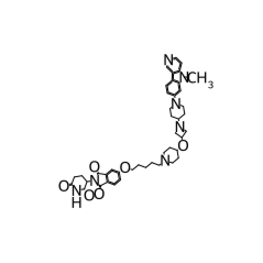 Cn1c2ccncc2c2ccc(N3CCC(N4CC(OC5CCN(CCCCCOc6ccc7c(c6)C(=O)N(C6CCC(=O)NC6=O)C7=O)CC5)C4)CC3)cc21